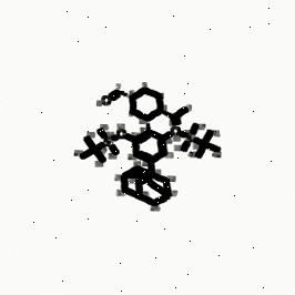 C=C(C)[C@@H]1CC[C@@H](C=O)C[C@H]1c1c(O[Si](C)(C)C(C)(C)C)cc(C23CC4CC(CC(C4)C2)C3)cc1O[Si](C)(C)C(C)(C)C